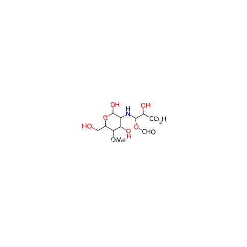 COC1C(CO)OC(O)C(NC(OC=O)C(O)C(=O)O)C1O